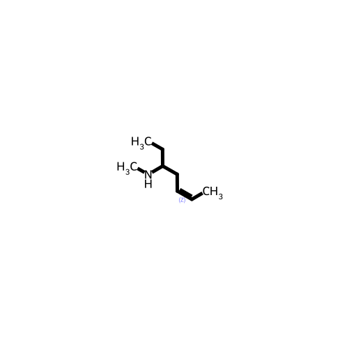 C/C=C\CC(CC)NC